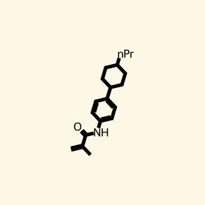 C=C(C)C(=O)Nc1ccc(C2CCC(CCC)CC2)cc1